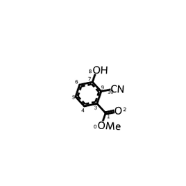 COC(=O)c1cccc(O)c1C#N